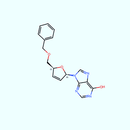 Oc1ncnc2c1ncn2[C@H]1C=C[C@@H](COCc2ccccc2)O1